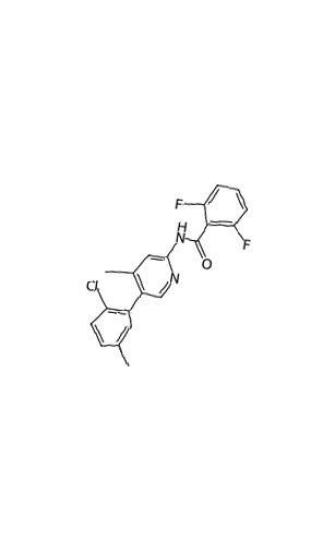 Cc1ccc(Cl)c(-c2cnc(NC(=O)c3c(F)cccc3F)cc2C)c1